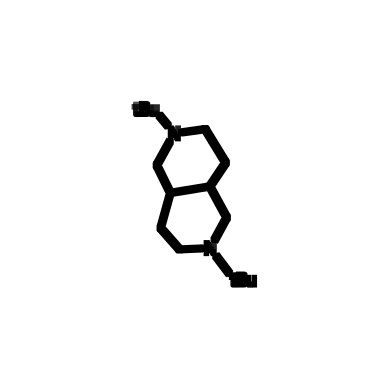 CC(C)(C)N1CCC2CN(C(C)(C)C)CCC2C1